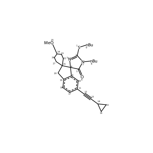 CCCCSC1=NC2(C(=O)N1CCCC)c1cc(C#CC3CC3)ccc1CC21CCC(OC)CC1